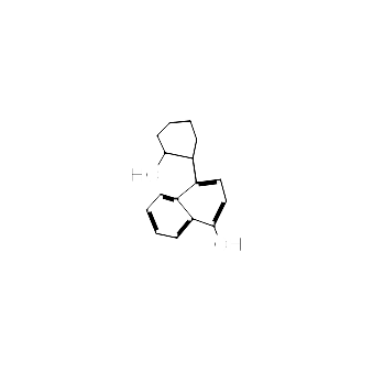 Oc1ccc(C2CCCCC2O)c2ccccc12